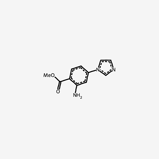 COC(=O)c1ccc(-n2ccnc2)cc1N